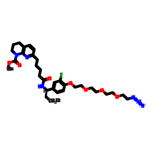 CCOC(=O)C[C@H](NC(=O)CCCCc1ccc2c(n1)N(C(=O)OC(C)(C)C)CCC2)c1ccc(OCCOCCOCCOCCN=[N+]=[N-])c(F)c1